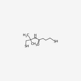 CC(C)(CS)NC(=O)CCCS